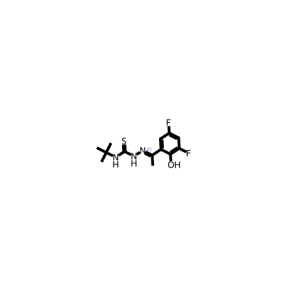 C/C(=N\NC(=S)NC(C)(C)C)c1cc(F)cc(F)c1O